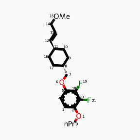 CCCOc1ccc(OC[C@H]2CC[C@H](/C=C/COC)CC2)c(F)c1F